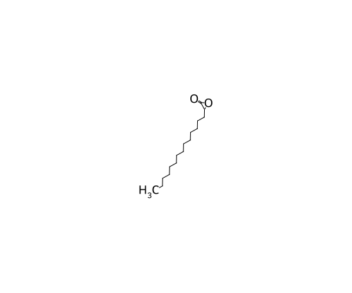 CCCCCCCCCCCCCCC1OC1=O